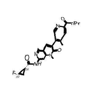 CCCC(=O)c1cc(C)c(-c2cc3cnc(NC(=O)[C@@H]4C[C@@H]4F)cc3n(C)c2=O)cn1